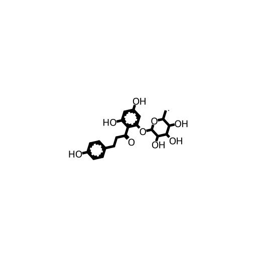 [CH2]C1OC(Oc2cc(O)cc(O)c2C(=O)CCc2ccc(O)cc2)C(O)C(O)C1O